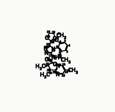 COc1cccc(OC)c1-n1c(NS(=O)(=O)C(C)C(C)c2ncc(C)cn2)nnc1C1OCCO1